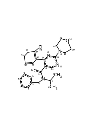 CC(C)N(Cc1ccccc1)C(=O)c1cnc(N2CCOCC2)nc1C1=C(Cl)CCC=C1